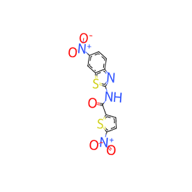 O=C(Nc1nc2ccc([N+](=O)[O-])cc2s1)c1ccc([N+](=O)[O-])s1